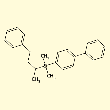 CC(CCc1ccccc1)[Si](C)(C)c1ccc(-c2ccccc2)cc1